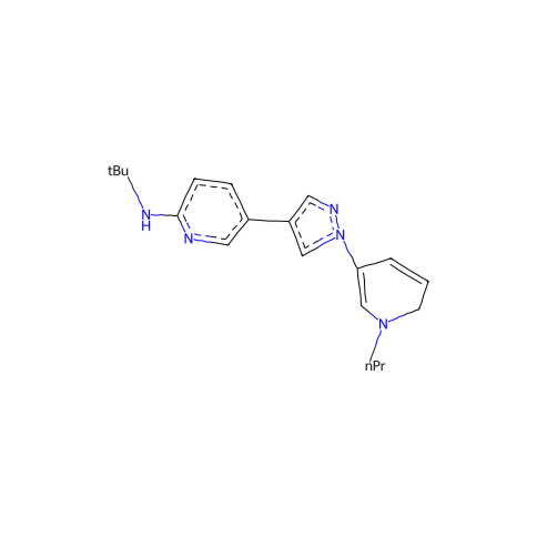 CCCN1C=C(n2cc(-c3ccc(NC(C)(C)C)nc3)cn2)C=CC1